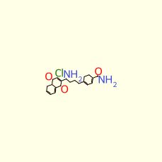 NC(=O)C1=CC=C(CCCC(N)C2=C(Cl)C(=O)C3CC=CC=C3C2=O)CC1